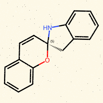 C1=C[C@]2(Cc3ccccc3N2)Oc2ccccc21